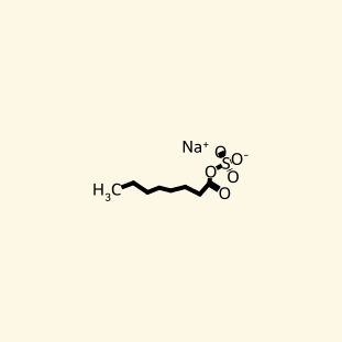 CCCCCCCC(=O)OS(=O)(=O)[O-].[Na+]